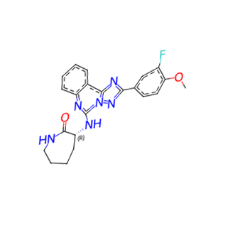 COc1ccc(-c2nc3c4ccccc4nc(N[C@@H]4CCCCNC4=O)n3n2)cc1F